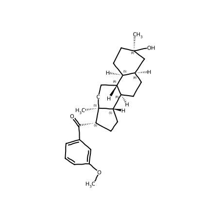 COc1cccc(C(=O)[C@H]2CC[C@H]3[C@@H]4CC[C@@H]5C[C@](C)(O)CC[C@@H]5[C@H]4CC[C@]23C)c1